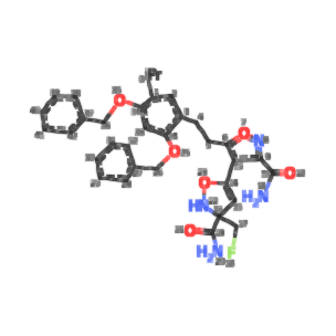 CC(C)c1cc(CCc2onc(C(N)=O)c2C2=CC(CF)(C(N)=O)NO2)c(OCc2ccccc2)cc1OCc1ccccc1